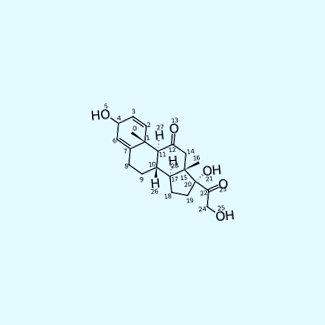 C[C@]12C=CC(O)C=C1CC[C@@H]1[C@@H]2C(=O)C[C@@]2(C)[C@H]1CC[C@]2(O)C(=O)CO